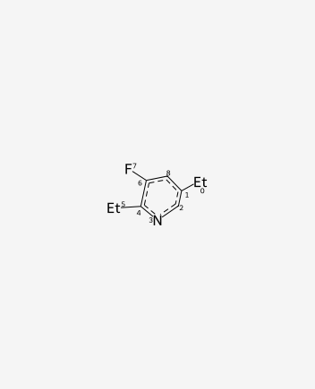 CCc1cnc(CC)c(F)c1